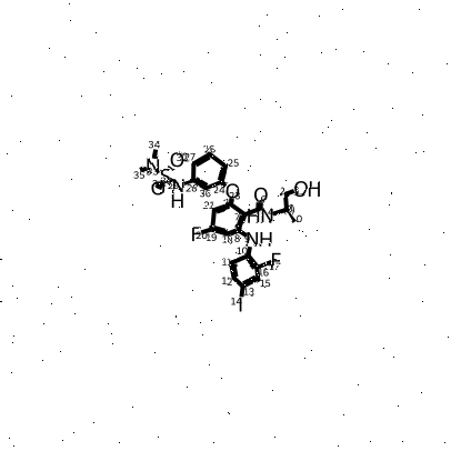 C[C@H](CO)NC(=O)c1c(Nc2ccc(I)cc2F)cc(F)cc1Oc1cccc(NS(=O)(=O)N(C)C)c1